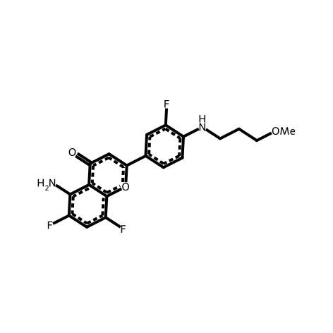 COCCCNc1ccc(-c2cc(=O)c3c(N)c(F)cc(F)c3o2)cc1F